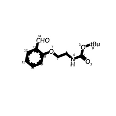 CC(C)(C)OC(=O)NCCOc1ccccc1C=O